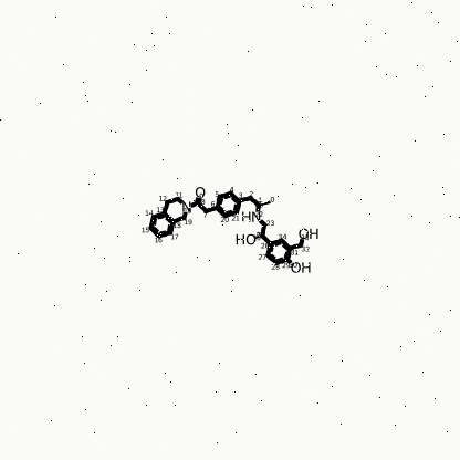 C[C@H](Cc1ccc(CC(=O)N2CCc3ccccc3C2)cc1)NC[C@@H](O)c1ccc(O)c(CO)c1